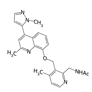 CC(=O)NCc1nccc(C)c1COc1cccc2c(-c3ccnn3C)cc(C)nc12